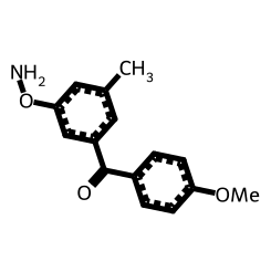 COc1ccc(C(=O)c2cc(C)cc(ON)c2)cc1